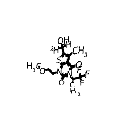 [2H]C([2H])(O)c1sc2c(c1C)c(=O)n([C@H](C)C(F)(F)F)c(=O)n2CCOC